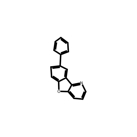 c1ccc(-c2ccc3oc4cccnc4c3c2)cc1